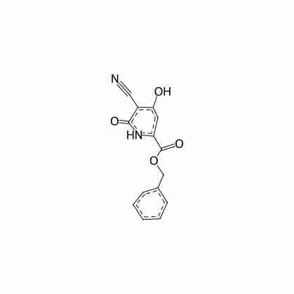 N#Cc1c(O)cc(C(=O)OCc2ccccc2)[nH]c1=O